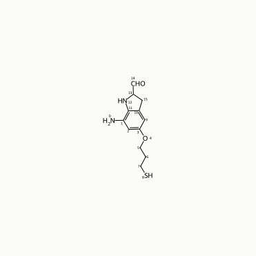 Nc1cc(OCCCS)cc2c1NC(C=O)C2